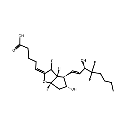 CCCCC(F)(F)[C@H](O)C=C[C@@H]1[C@H]2C(F)C(=CCCCC(=O)O)O[C@H]2C[C@H]1O